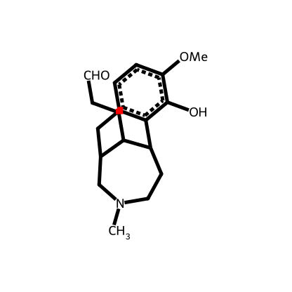 COc1ccc2c(c1O)C1CCN(C)CC(C2)C1CCC=O